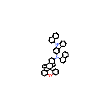 c1ccc2c(c1)Oc1ccccc1C21c2ccccc2-c2ccc(N(c3ccc4c(c3)c3ccccc3n4-c3cccc4ccccc34)c3cccc4ccccc34)c3cccc1c23